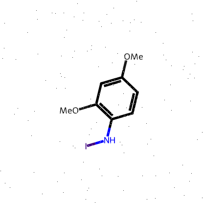 COc1ccc(NI)c(OC)c1